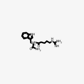 N=C(N)NCCCCC(=O)N[C@@H](Cc1c[nH]c2ccccc12)C(N)=O